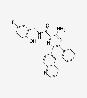 Nc1nc(-c2ccccc2)c(-c2ccc3ncccc3c2)nc1C(=O)NCc1cc(F)ccc1O